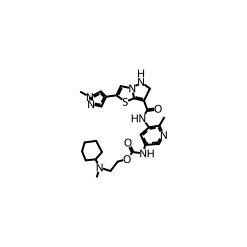 Cc1ncc(NC(=O)OCCN(C)C2CCCCC2)cc1NC(=O)C1=C2SC(c3cnn(C)c3)=CN2NC1